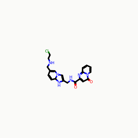 O=C(NCC1=CN2C=C(CNCCCl)C=CC2N1)c1cc(=O)n2ccccc2n1